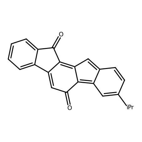 CC(C)c1ccc2cc3c4c(=O)c5ccccc5c-4cc(=O)c-3c2c1